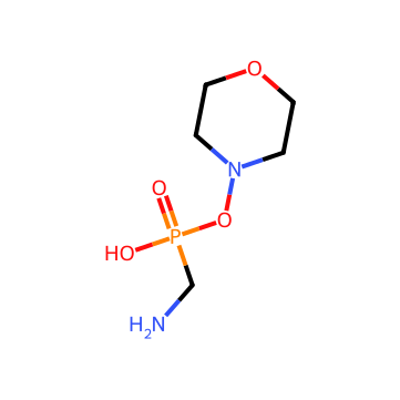 NCP(=O)(O)ON1CCOCC1